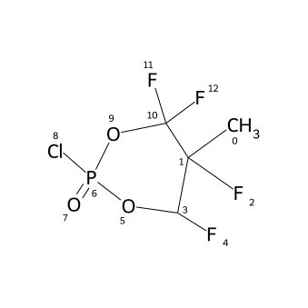 CC1(F)C(F)OP(=O)(Cl)OC1(F)F